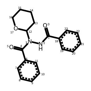 O=C(NN(C(=O)c1ccccc1)C1CCCCO1)c1ccccc1